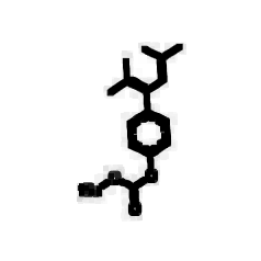 CC(C)=CC(=C(C)C)c1ccc(OC(=O)OC(C)(C)C)cc1